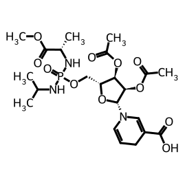 COC(=O)[C@H](C)NP(=O)(NC(C)C)OC[C@H]1O[C@@H](N2C=CCC(C(=O)O)=C2)[C@H](OC(C)=O)[C@@H]1OC(C)=O